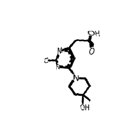 CC1(O)CCN(c2cc(CC(=O)O)nc(Cl)n2)CC1